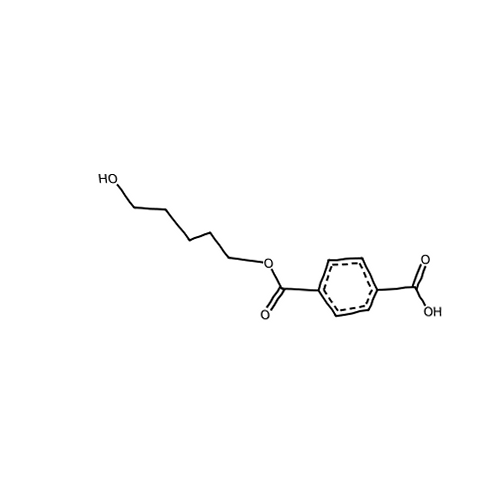 O=C(O)c1ccc(C(=O)OCCCCCO)cc1